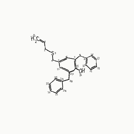 C=CCSCc1cc(Cc2ccccc2)c(O)c(Cc2ccccc2)c1